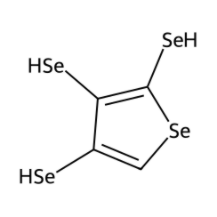 [SeH]c1c[se]c([SeH])c1[SeH]